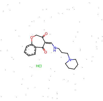 Cl.O=C1COc2ccccc2C(=O)C1=CNCCCN1CCCCC1